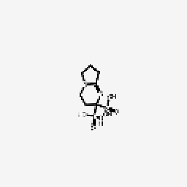 O=P(O)(O)C1(P(=O)(O)O)CCN2CCCC2=N1